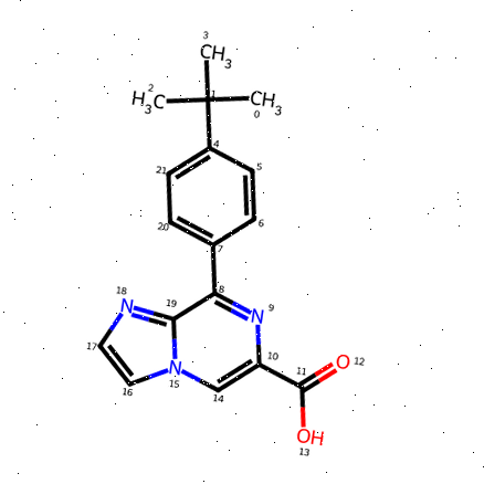 CC(C)(C)c1ccc(-c2nc(C(=O)O)cn3ccnc23)cc1